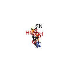 N#CCCOP(O)(=S)OC[C@H]1C[C@@H](Oc2ccncn2)C[C@@H]1[PH](=O)O